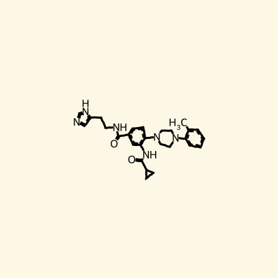 Cc1ccccc1N1CCN(c2ccc(C(=O)NCCc3cnc[nH]3)cc2NC(=O)C2CC2)CC1